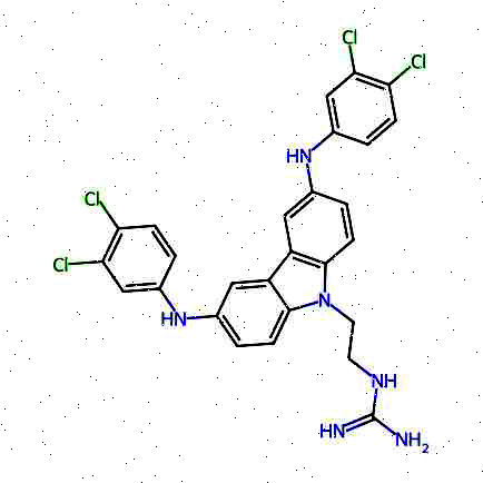 N=C(N)NCCn1c2ccc(Nc3ccc(Cl)c(Cl)c3)cc2c2cc(Nc3ccc(Cl)c(Cl)c3)ccc21